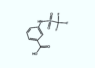 O=C(O)c1cccc(NS(=O)(=O)C(F)(F)F)c1